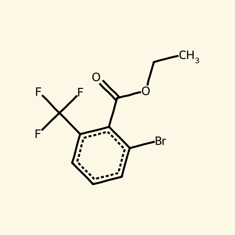 CCOC(=O)c1c(Br)cccc1C(F)(F)F